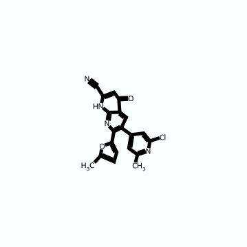 Cc1cc(-c2cc3c(=O)cc(C#N)[nH]c3nc2-c2ccc(C)o2)cc(Cl)n1